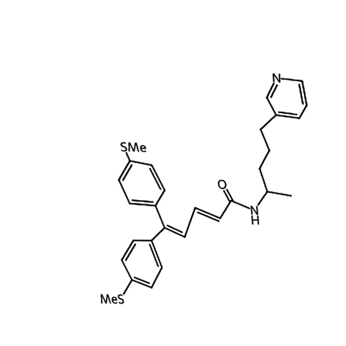 CSc1ccc(C(=C/C=C/C(=O)NC(C)CCCc2cccnc2)c2ccc(SC)cc2)cc1